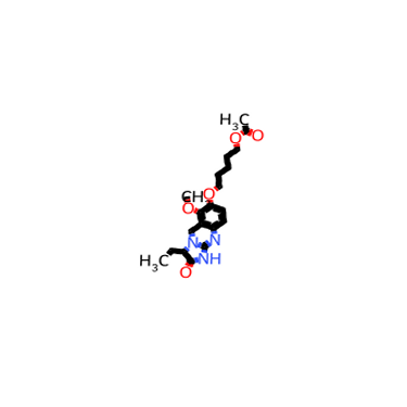 CCC1C(=O)NC2=Nc3ccc(OCCCCCOC(C)=O)c(OC)c3CN21